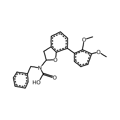 COc1cccc(-c2cccc3c2OC(N(Cc2ccccc2)C(=O)O)C3)c1OC